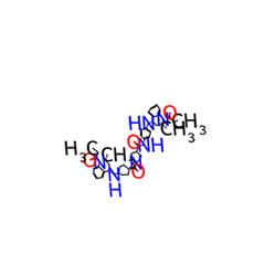 CCC(=O)N1c2ccccc2[C@H](Nc2ccc(NC(=O)C3CCN(C(=O)C4CCC(N[C@@H]5C[C@H](C)N(C(=O)CC)c6ccccc65)CC4)CC3)cc2)C[C@@H]1C